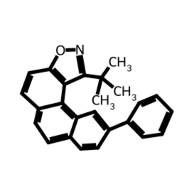 CC(C)(C)c1noc2ccc3ccc4ccc(-c5ccccc5)cc4c3c12